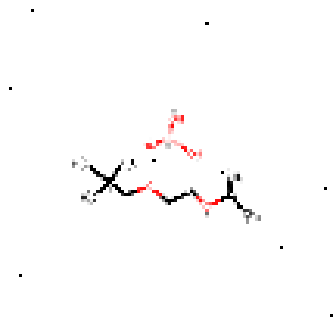 CC(C)OCCOCC(C)(C)C.OB(O)O